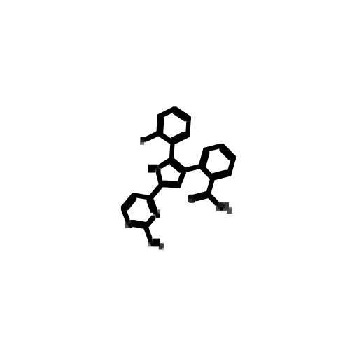 NC(=O)c1ccccc1-c1cc(-c2ccnc(N)n2)[nH]c1-c1ccccc1F